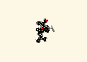 C=c1c2ccccc2n2c3ccc(-c4cc(-c5ccccc5)cc(-c5ccccc5)c4)cc3c3cc4c(c5cc(-c6cc(-c7ccccc7)cc(-c7ccccc7)c6)cc6c5n4-c4ccccc4C6(C)C)c1c32